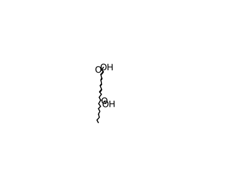 CCCCCCCCC(CC/C=C/C=C/C=C/C=C/C(=O)O)OO